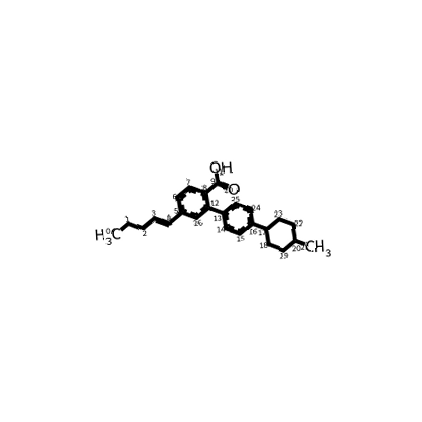 CCCC=Cc1ccc(C(=O)O)c(-c2ccc(C3CCC(C)CC3)cc2)c1